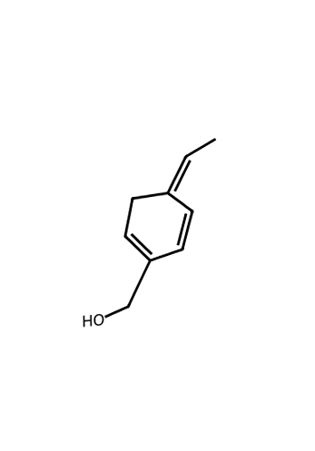 CC=C1C=CC(CO)=CC1